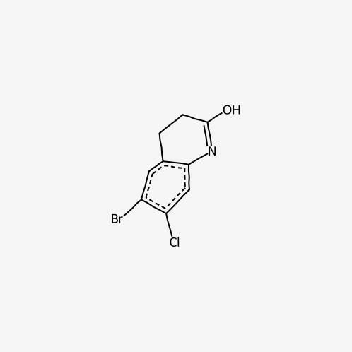 OC1=Nc2cc(Cl)c(Br)cc2CC1